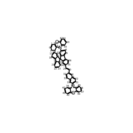 C1=CC2=C(CC1)N(c1ccc3c(c1)C1(c4ccccc4-c4ccccc41)c1cc(/C=C/c4ccc5cc(N6c7ccccc7Oc7ccccc76)ccc5c4)ccc1-3)c1ccccc1O2